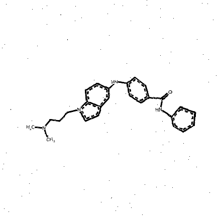 CN(C)CCCn1ccc2cc(Nc3ccc(C(=O)Nc4ccccc4)cc3)ccc21